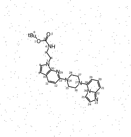 CC(C)(C)OC(=O)NCCn1ccc2ccc(N3CCN(c4cccc5nccn45)CC3)nc21